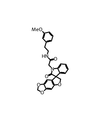 COc1cccc(CCNC(=O)CN2C(=O)C3(COc4cc5c(cc43)OCO5)c3ccccc32)c1